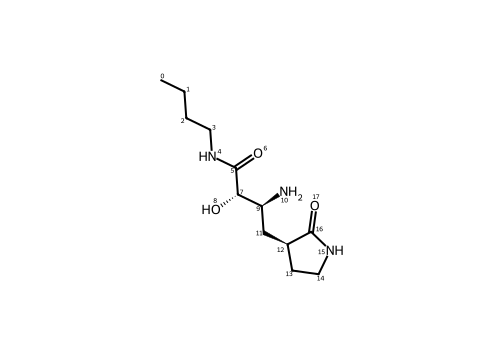 CCCCNC(=O)[C@@H](O)[C@@H](N)C[C@@H]1CCNC1=O